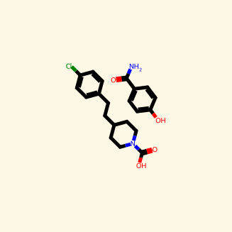 NC(=O)c1ccc(O)cc1.O=C(O)N1CCC(CCc2ccc(Cl)cc2)CC1